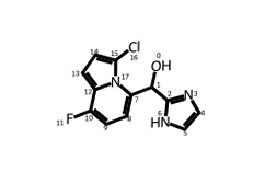 OC(c1ncc[nH]1)c1ccc(F)c2ccc(Cl)n12